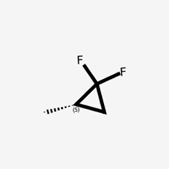 [CH2][C@H]1CC1(F)F